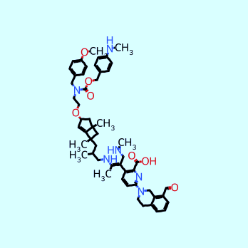 CNC/C(=C(/C)NCC(C)CC1(C)CC2(C)CC(OCCN(Cc3ccc(OC)cc3)C(=O)OCc3ccc(NC)cc3)C=C12)c1ccc(N2CCc3cccc(C=O)c3C2)nc1C(=O)O